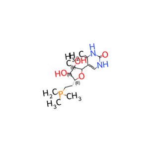 C=C1NC(=O)NC=C1C1O[C@H](CCP(=C)(C)C)[C@@H](O)[C@@]1(C)O